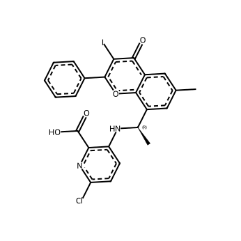 Cc1cc([C@@H](C)Nc2ccc(Cl)nc2C(=O)O)c2oc(-c3ccccc3)c(I)c(=O)c2c1